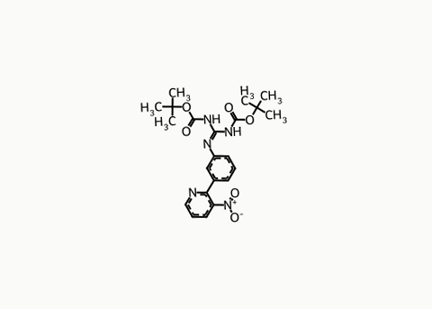 CC(C)(C)OC(=O)NC(=Nc1cccc(-c2ncccc2[N+](=O)[O-])c1)NC(=O)OC(C)(C)C